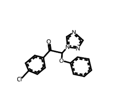 O=C(c1ccc(Cl)cc1)C(Oc1ccccc1)n1cncn1